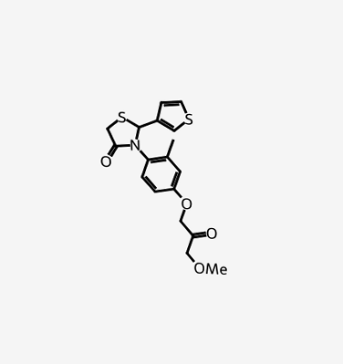 COCC(=O)COc1ccc(N2C(=O)CSC2c2ccsc2)c(C)c1